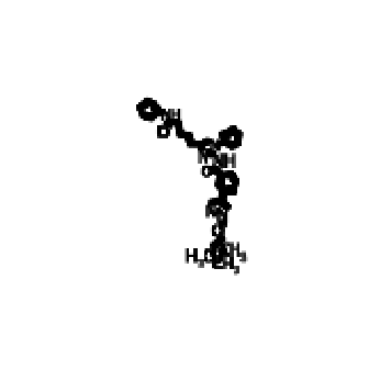 C[Si](C)(C)CCOCn1cc(-c2cccc(C(=O)Nc3nc(CCCCC(=O)Nc4ccccc4)cn3-c3ccccc3)c2)cn1